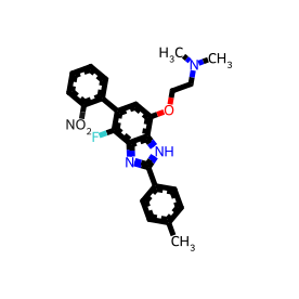 Cc1ccc(-c2nc3c(F)c(-c4ccccc4[N+](=O)[O-])cc(OCCN(C)C)c3[nH]2)cc1